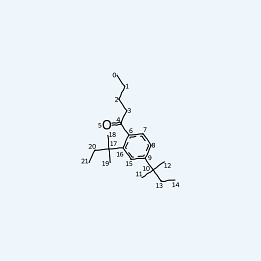 CCCCC(=O)c1ccc(C(C)(C)CC)cc1C(C)(C)CC